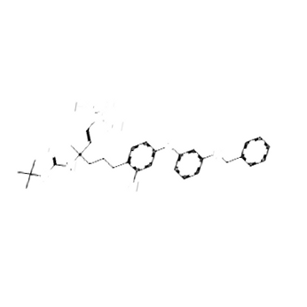 CC(/C=C/P(=O)(O)O)(CCCc1ccc(Sc2cccc(OCc3ccccc3)c2)cc1Cl)NC(=O)OC(C)(C)C